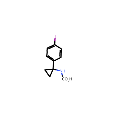 O=C(O)NC1(c2ccc(I)cc2)CC1